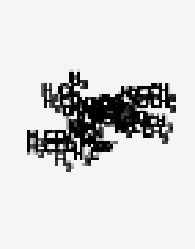 C[S+]([O-])c1nc(N2CC3(CCc4sc(N(C(=O)OC(C)(C)C)C(=O)OC(C)(C)C)c(C#N)c43)C2)c2c(N(C(=O)OC(C)(C)C)C(=O)OC(C)(C)C)nn(C(=O)OC(C)(C)C)c2n1